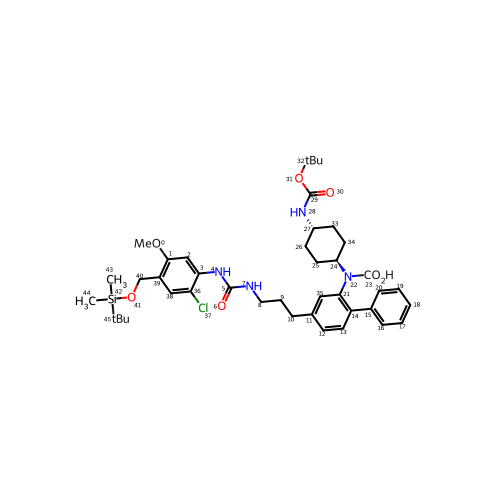 COc1cc(NC(=O)NCCCc2ccc(-c3ccccc3)c(N(C(=O)O)[C@H]3CC[C@H](NC(=O)OC(C)(C)C)CC3)c2)c(Cl)cc1CO[Si](C)(C)C(C)(C)C